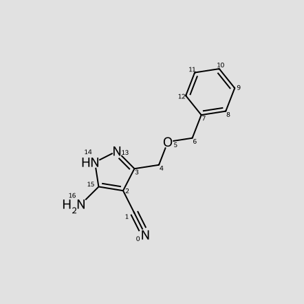 N#Cc1c(COCc2ccccc2)n[nH]c1N